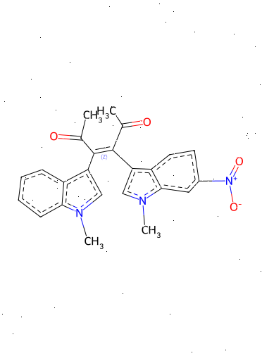 CC(=O)/C(=C(\C(C)=O)c1cn(C)c2cc([N+](=O)[O-])ccc12)c1cn(C)c2ccccc12